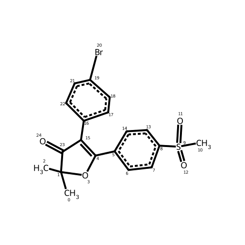 CC1(C)OC(c2ccc(S(C)(=O)=O)cc2)=C(c2ccc(Br)cc2)C1=O